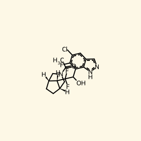 CC(=O)N1C[C@H]2CC[C@@H](C1)[C@H]2C(F)(F)C(O)c1c(F)c(Cl)cc2cn[nH]c12